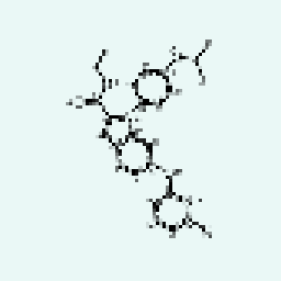 CCOC(=O)c1cc2ccc(Oc3cccc(Cl)n3)cc2n1-c1ccc(OC(C)C)cc1